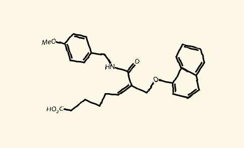 COc1ccc(CNC(=O)C(=CCCCCC(=O)O)COc2cccc3ccccc23)cc1